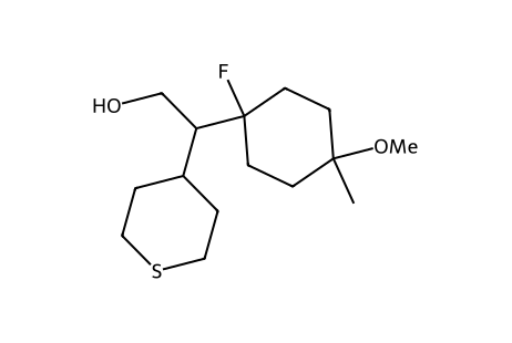 COC1(C)CCC(F)(C(CO)C2CCSCC2)CC1